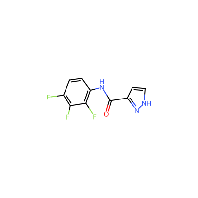 O=C(Nc1ccc(F)c(F)c1F)c1cc[nH]n1